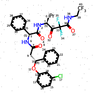 CC(C)[C@H](NC(=O)[C@@H](NC(=O)C[C@@H](Oc1cccc(Cl)c1)c1ccccc1)c1ccccc1)C(=O)C(F)(F)C(=O)NCC(F)(F)F